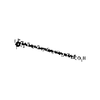 CC(OCCOCCOCCOCCOCCOCCOCCOCCOCCOCCC(=O)Oc1c(F)c(F)cc(F)c1F)C(=O)O